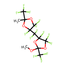 COC1(C(F)(F)F)OC(F)(F)C(F)(C(F)(F)C2(F)OC(C)(C(F)(F)F)OC2(F)F)O1